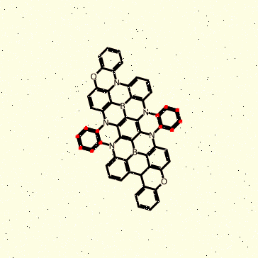 c1ccc(N2c3cccc4c3B3c5c(ccc6c5C4c4ccccc4O6)N(c4ccccc4)c4c3c2c2c3c4N(c4ccccc4)c4cccc5c4B3c3c(ccc4c3N5c3ccccc3O4)N2c2ccccc2)cc1